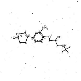 CC(C)(C)NCC(O)COc1ccc(C2=NNC(=O)CC2)cc1N